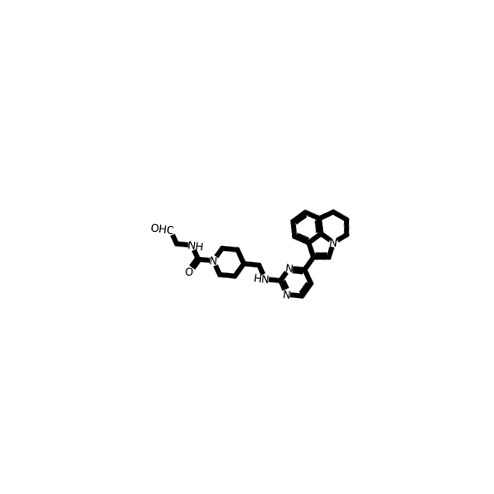 O=CCNC(=O)N1CCC(CNc2nccc(-c3cn4c5c(cccc35)CCC4)n2)CC1